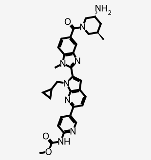 COC(=O)Nc1ccc(-c2ccc3cc(-c4nc5cc(C(=O)N6C[C@H](C)C[C@@H](N)C6)ccc5n4C)n(CC4CC4)c3n2)cn1